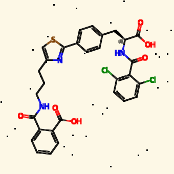 O=C(O)c1ccccc1C(=O)NCCCc1csc(-c2ccc(C[C@H](NC(=O)c3c(Cl)cccc3Cl)C(=O)O)cc2)n1